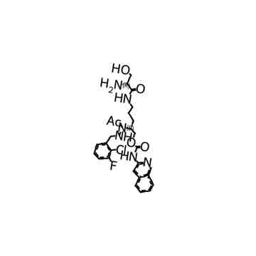 CC(=O)N(NCc1cccc(F)c1Cl)[C@@H](CCCNC(=O)[C@H](N)CO)COC(=O)Nc1cc2ccccc2cn1